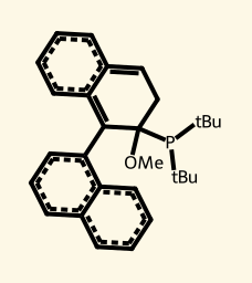 COC1(P(C(C)(C)C)C(C)(C)C)CC=c2ccccc2=C1c1cccc2ccccc12